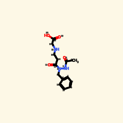 CC(=O)NN(Cc1ccccc1)C(=O)CCNCC(=O)O